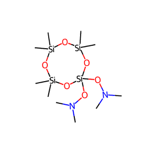 CN(C)O[Si]1(ON(C)C)O[Si](C)(C)O[Si](C)(C)O[Si](C)(C)O1